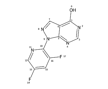 Oc1ncnc2c1cnn2-c1ncc(F)cc1F